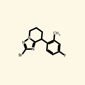 Cc1cc(F)ccc1C1CCCn2nc(Br)nc21